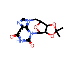 CC1(C)OC2C3Cn4cnc5c(=O)[nH]c(=O)n(c54)C(O3)C2O1